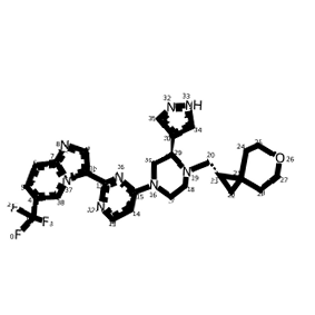 FC(F)(F)c1ccc2ncc(-c3nccc(N4CCN(C[C@H]5CC56CCOCC6)[C@H](c5cn[nH]c5)C4)n3)n2c1